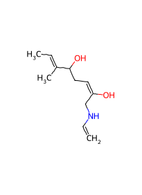 C=CNC/C(O)=C\CC(O)/C(C)=C/C